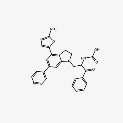 Nc1nnc(-c2cc(-c3ccncc3)cc3c2CCN3CC(NC(=O)O)C(=O)c2ccccc2)o1